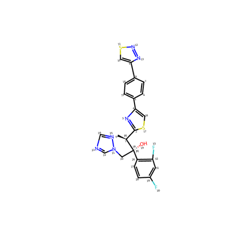 C[C@@H](c1nc(-c2ccc(-c3csnn3)cc2)cs1)[C@](O)(Cn1cncn1)c1ccc(F)cc1F